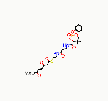 COC(=O)/C=C/C(=O)CC(=O)SCCNC(=O)CCNC(=O)[C@@H]1OP(=O)(Oc2ccccc2)OCC1(C)C